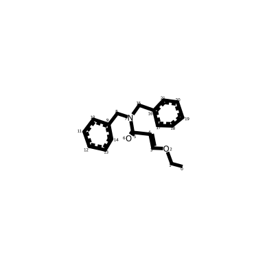 CCO/C=C/C(=O)N(Cc1ccccc1)Cc1ccccc1